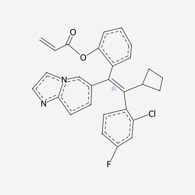 C=CC(=O)Oc1ccccc1/C(=C(/c1ccc(F)cc1Cl)C1CCC1)c1ccc2nccn2c1